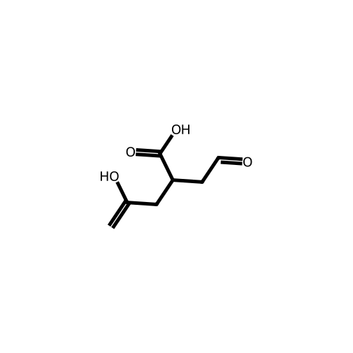 C=C(O)CC(CC=O)C(=O)O